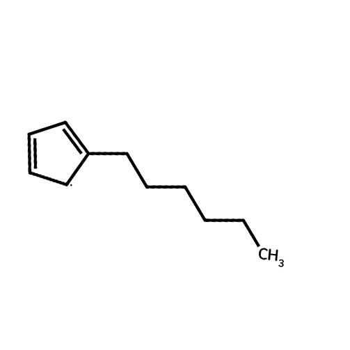 CCCCCCC1=CC=C[CH]1